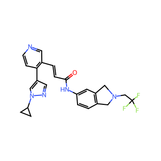 O=C(C=Cc1cnccc1-c1cnn(C2CC2)c1)Nc1ccc2c(c1)CN(CC(F)(F)F)C2